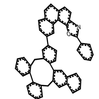 c1ccc(-c2nc3ccc4ccc5ccc(-c6ccc7c(c6)Cc6ccccc6-c6ccccc6Cc6cc8ccccc8cc6-7)cc5c4c3o2)cc1